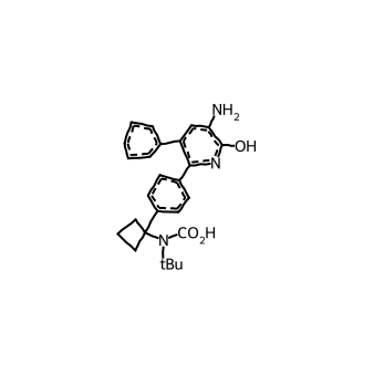 CC(C)(C)N(C(=O)O)C1(c2ccc(-c3nc(O)c(N)cc3-c3ccccc3)cc2)CCC1